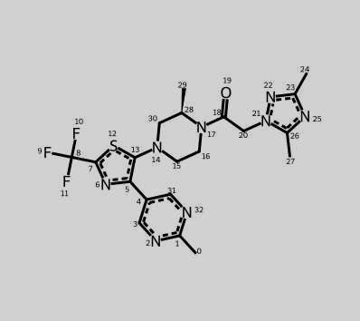 Cc1ncc(-c2nc(C(F)(F)F)sc2N2CCN(C(=O)Cn3nc(C)nc3C)[C@H](C)C2)cn1